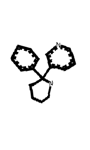 c1ccc(C2(c3cccnc3)CCCC[N]2)cc1